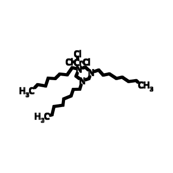 CCCCCCCCN1CN(CCCCCCCC)C[N+](CCCCCCCC)([Cr]([Cl])([Cl])[Cl])C1